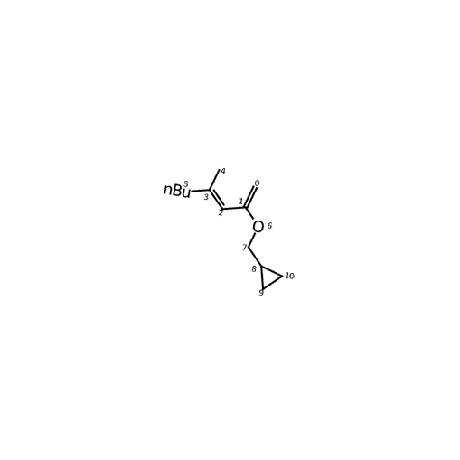 C=C(/C=C(\C)CCCC)OCC1CC1